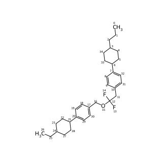 CCCC1CCC(c2ccc(CC(F)(F)OCc3ccc(C4CCC(CC)CC4)cc3)cc2)CC1